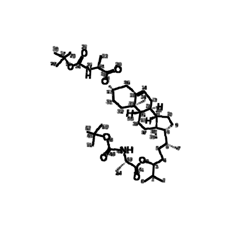 CC(C)C(CC[C@@H](C)[C@H]1CC[C@H]2[C@@H]3CC=C4C[C@@H](OC(=O)[C@H](C)NC(=O)OC(C)(C)C)CC[C@]4(C)[C@H]3CC[C@]12C)OC(=O)[C@H](C)NC(=O)OC(C)(C)C